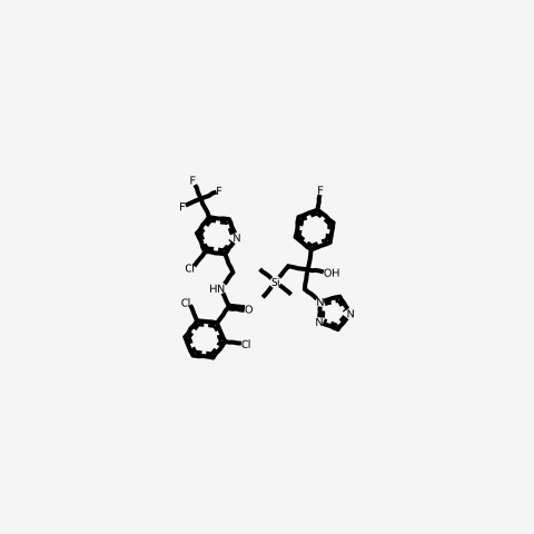 C[Si](C)(C)CC(O)(Cn1cncn1)c1ccc(F)cc1.O=C(NCc1ncc(C(F)(F)F)cc1Cl)c1c(Cl)cccc1Cl